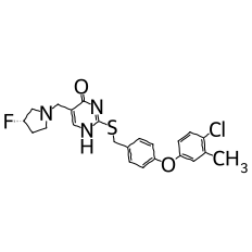 Cc1cc(Oc2ccc(CSc3nc(=O)c(CN4CC[C@H](F)C4)c[nH]3)cc2)ccc1Cl